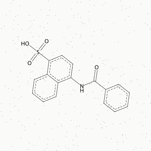 O=C(Nc1ccc(S(=O)(=O)O)c2ccccc12)c1ccccc1